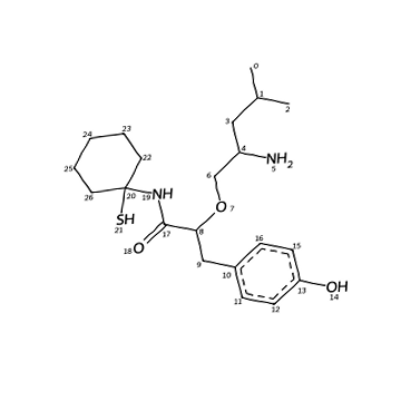 CC(C)CC(N)COC(Cc1ccc(O)cc1)C(=O)NC1(S)CCCCC1